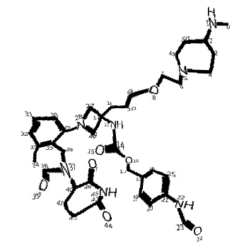 CNC1CCN(CCOCCCC2(NC(=O)OCc3ccc(NC=O)cc3)CN(c3cccc(C)c3CN(C=O)C3CCC(=O)NC3=O)C2)CC1